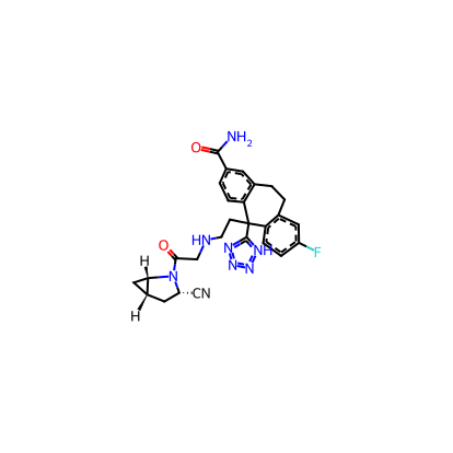 N#C[C@@H]1C[C@@H]2C[C@@H]2N1C(=O)CNCCC1(c2nnn[nH]2)c2ccc(F)cc2CCc2cc(C(N)=O)ccc21